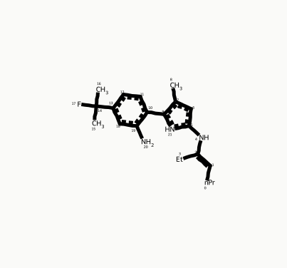 CCC/C=C(\CC)Nc1cc(C)c(-c2ccc(C(C)(C)F)cc2N)[nH]1